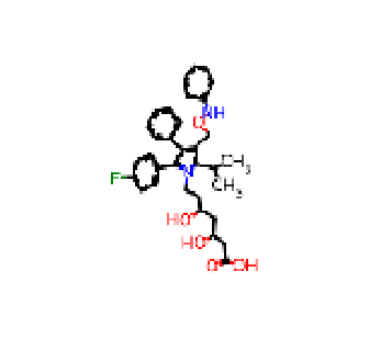 CC(C)c1c(CONc2ccccc2)c(-c2ccccc2)c(-c2ccc(F)cc2)n1CCC(O)CC(O)CC(=O)O